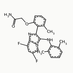 Cc1cccc(C)c1Nc1c(-c2c(C)cccc2OCC(N)=O)nc2c(F)cc(F)cn12